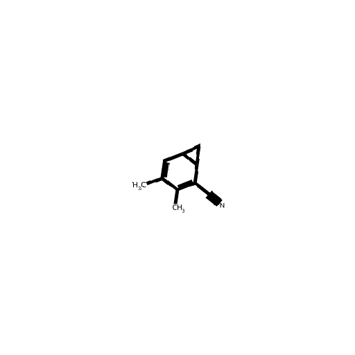 CC1=CC2CC2C(C#N)=C1C